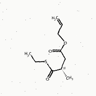 C=CCOC(=O)C[C@H](C)C(=O)SCC